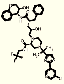 CC(C)(c1csc(-c2cncc(Cl)c2)n1)N1CCN(C[C@@H](O)C[C@@H](Cc2ccccc2)C(=O)N[C@H]2c3ccccc3OC[C@H]2O)[C@H](C(=O)NCC(F)(F)F)C1